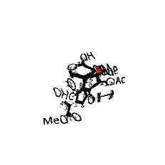 COC(=O)C(C)[C@H]1CCC23C(O)[C@H](OC(C)=O)[C@@H](C(C)(C)C)C24C(OC(O)[C@@H]4OC)OC13C=O